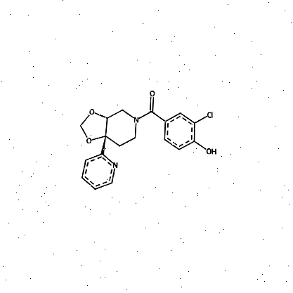 O=C(c1ccc(O)c(Cl)c1)N1CC[C@]2(c3ccccn3)OCOC2C1